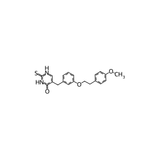 COc1ccc(CCOc2cccc(Cc3c[nH]c(=S)[nH]c3=O)c2)cc1